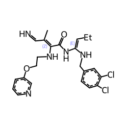 CC/C=C(\NCc1ccc(Cl)c(Cl)c1)NC(=O)/C(NCCOc1cccnc1)=C(\C)C=N